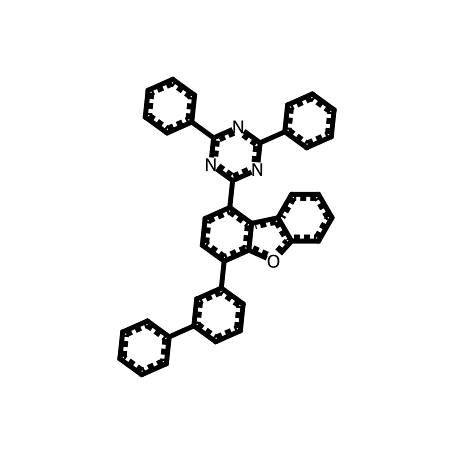 c1ccc(-c2cccc(-c3ccc(-c4nc(-c5ccccc5)nc(-c5ccccc5)n4)c4c3oc3ccccc34)c2)cc1